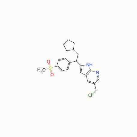 CS(=O)(=O)c1ccc(C(CC2CCCC2)c2cc3cc(CCl)cnc3[nH]2)cc1